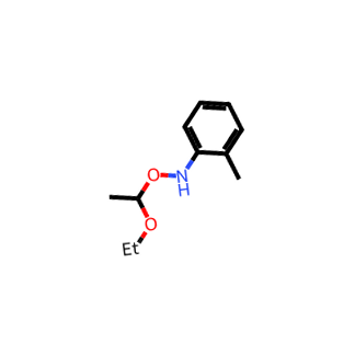 CCOC(C)ONc1ccccc1C